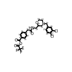 O=C(Cc1ccc(C(=O)OC(=O)C(F)(F)F)cc1)NCC1CN(Cc2ccc(Cl)c(Cl)c2)CCO1